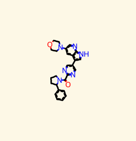 O=C(c1ncc(-c2c[nH]c3ncc(N4CCOCC4)cc23)cn1)N1CCCC1c1ccccc1